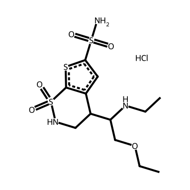 CCNC(COCC)C1CNS(=O)(=O)c2sc(S(N)(=O)=O)cc21.Cl